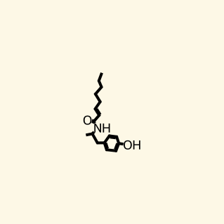 CCCCC/C=C/C(=O)NC(C)Cc1ccc(O)cc1